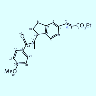 CCOC(=O)/C=C/c1ccc2c(c1)CCC2NC(=O)c1ccc(OC)cc1